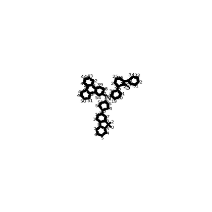 CC1(C)c2ccccc2-c2ccc(-c3ccc(N(c4cccc(-c5cccc6c5sc5ccccc56)c4)c4ccc5c6ccccc6c6ccccc6c5c4)cc3)cc21